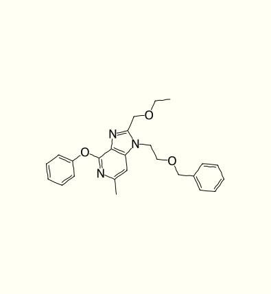 CCOCc1nc2c(Oc3ccccc3)nc(C)cc2n1CCOCc1ccccc1